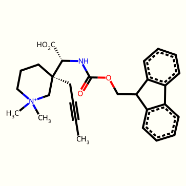 CC#CC[C@@]1([C@@H](NC(=O)OCC2c3ccccc3-c3ccccc32)C(=O)O)CCC[N+](C)(C)C1